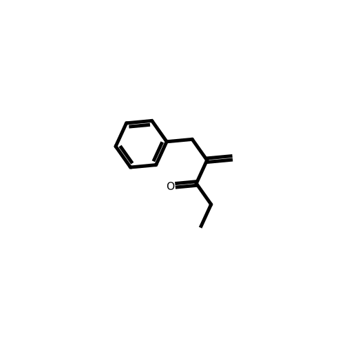 C=C(Cc1ccccc1)C(=O)CC